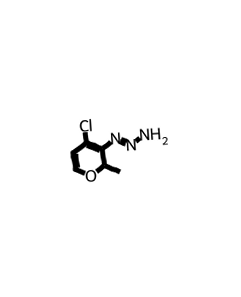 CC1OC=CC(Cl)=C1N=NN